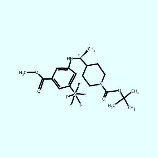 COC(=O)c1cc(N[C@@H](C)C2CCN(C(=O)OC(C)(C)C)CC2)cc(S(F)(F)(F)(F)F)c1